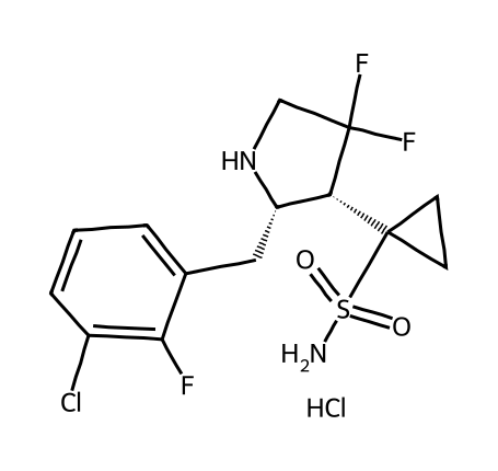 Cl.NS(=O)(=O)C1([C@@H]2[C@H](Cc3cccc(Cl)c3F)NCC2(F)F)CC1